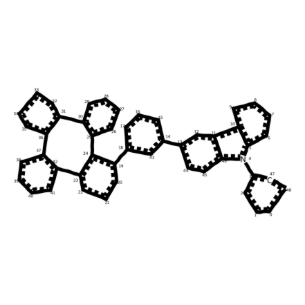 c1ccc(-n2c3ccccc3c3cc(-c4cccc(-c5cccc6c5-c5ccccc5-c5ccccc5-c5ccccc5-6)c4)ccc32)cc1